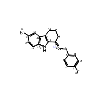 Fc1ccc(C/N=C2\CCCc3c2[nH]c2ccc(Br)cc32)cc1